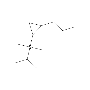 CCCC1CC1S(C)(C)C(C)C